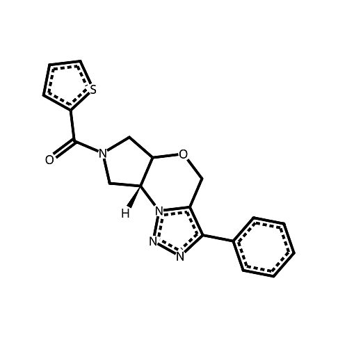 O=C(c1cccs1)N1CC2OCc3c(-c4ccccc4)nnn3[C@@H]2C1